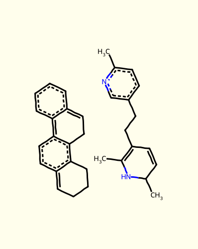 C1=c2ccc3c(c2CCC1)CC=c1ccccc1=3.CC1=C(CCc2ccc(C)nc2)C=CC(C)N1